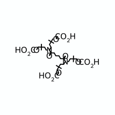 CC(C)(CCN(CCC(C)(C)COC(=O)O)C(=O)CCCCC(=O)N(CCC(C)(C)COC(=O)O)CCC(C)(C)COC(=O)O)COC(=O)O